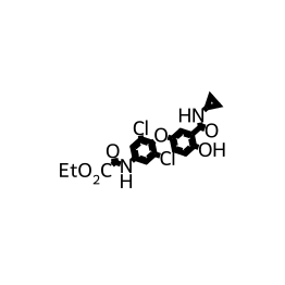 CCOC(=O)C(=O)Nc1cc(Cl)c(Oc2ccc(O)c(C(=O)NC3CC3)c2)c(Cl)c1